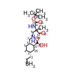 BCC[C@@H]1CC[C@@H](CNC[C@@](C)(C=O)NC(=O)OC(C)(C)C)[C@@H](C(=O)O)C1